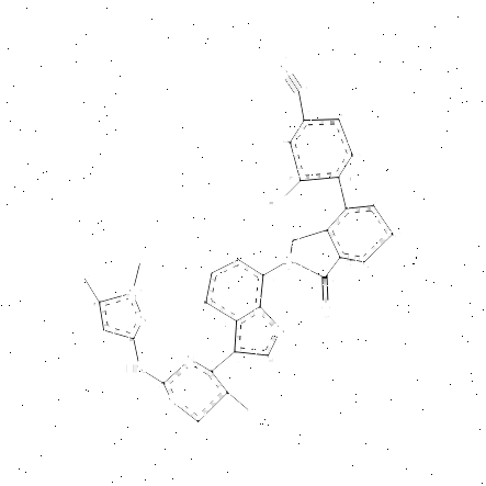 Cc1cnc(Nc2cc(C)n(C)n2)nc1-c1c[nH]c2c(N3Cc4c(cccc4-c4ccc(C#N)cc4F)C3=O)cccc12